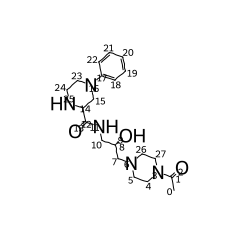 CC(=O)N1CCN(C[C@H](O)CNC(=O)C2CN(c3ccccc3)CCN2)CC1